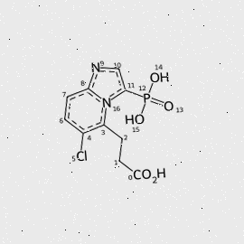 O=C(O)CCc1c(Cl)ccc2ncc(P(=O)(O)O)n12